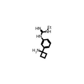 CCNC(=N)Nc1cccc(C2(N)CCC2)c1